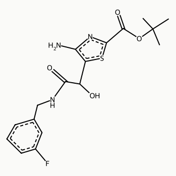 CC(C)(C)OC(=O)c1nc(N)c(C(O)C(=O)NCc2cccc(F)c2)s1